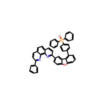 O=P(c1ccccc1)(c1ccccc1)c1ccc(-c2cccc3oc4ccc(-c5ccc6ccc7ccc(-c8ccccc8)nc7c6n5)cc4c23)cc1